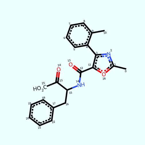 Cc1nc(-c2ccccc2C)c(C(=O)NC(Cc2ccccc2)C(=O)C(=O)O)o1